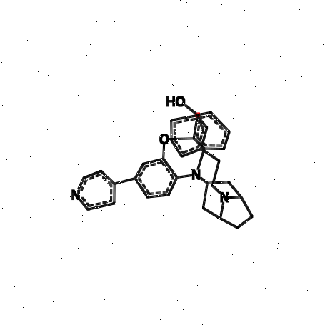 Oc1cccc2c1Oc1cc(-c3ccncc3)ccc1N2C1CC2CCC(C1)N2CCc1ccccc1